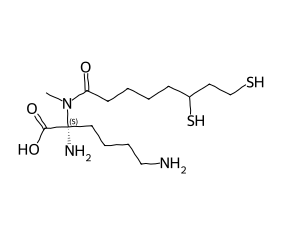 CN(C(=O)CCCCC(S)CCS)[C@@](N)(CCCCN)C(=O)O